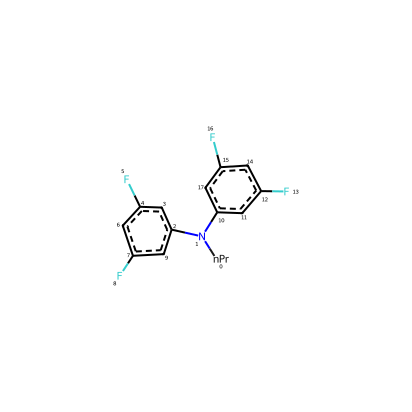 CCCN(c1cc(F)cc(F)c1)c1cc(F)cc(F)c1